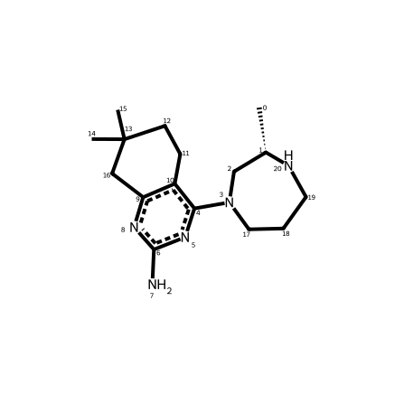 C[C@H]1CN(c2nc(N)nc3c2CCC(C)(C)C3)CCCN1